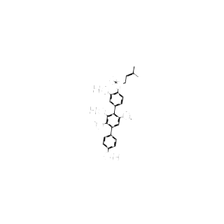 COc1cc(-c2ccc(O)cc2)c(OC)c(O)c1-c1ccc([S+]([O-])CC=C(C)C)c(O)c1